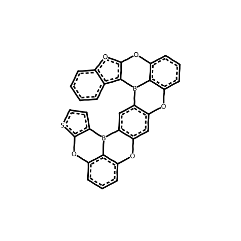 c1cc2c3c(c1)Oc1sccc1B3c1cc3c(cc1O2)Oc1cccc2c1B3c1c(oc3ccccc13)O2